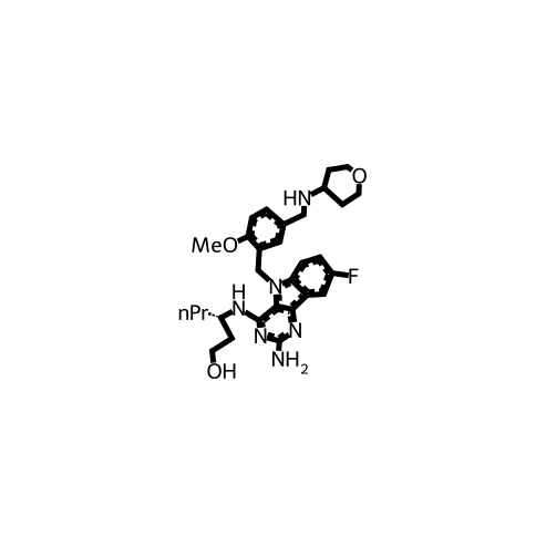 CCC[C@@H](CCO)Nc1nc(N)nc2c3cc(F)ccc3n(Cc3cc(CNC4CCOCC4)ccc3OC)c12